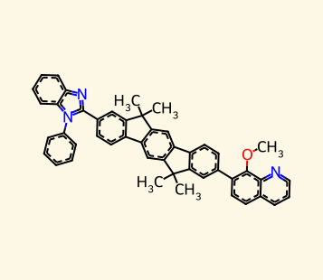 COc1c(-c2ccc3c(c2)C(C)(C)c2cc4c(cc2-3)C(C)(C)c2cc(-c3nc5ccccc5n3-c3ccccc3)ccc2-4)ccc2cccnc12